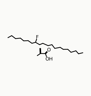 C=C(C)C(=O)O.CCCCCCCCCCCCC(F)CCCCCCC